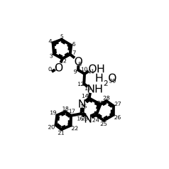 COc1ccccc1OCC(O)CNc1nc(-c2ccccc2)nc2ccccc12.O